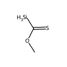 COC([SiH3])=S